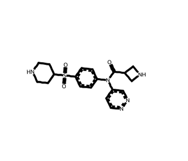 O=C(C1CNC1)N(c1ccc(S(=O)(=O)C2CCNCC2)cc1)c1ccnnc1